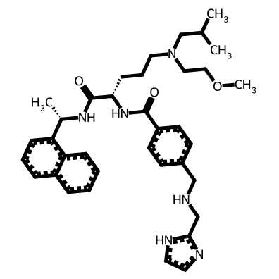 COCCN(CCC[C@H](NC(=O)c1ccc(CNCc2ncc[nH]2)cc1)C(=O)N[C@@H](C)c1cccc2ccccc12)CC(C)C